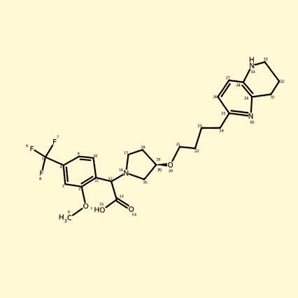 COc1cc(C(F)(F)F)ccc1C(C(=O)O)N1CC[C@@H](OCCCCc2ccc3c(n2)CCCN3)C1